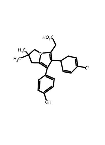 CC1(C)Cc2c(-c3ccc(O)cc3)c(C3C=CC(Cl)=CC3)c(CC(=O)O)n2C1